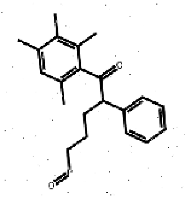 Cc1cc(C)c(C(=O)C(CCCP=O)c2ccccc2)c(C)c1C